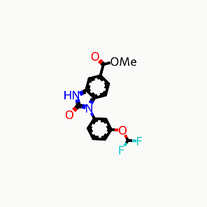 COC(=O)c1ccc2c(c1)[nH]c(=O)n2-c1cccc(OC(F)F)c1